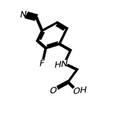 N#Cc1ccc(CNCC(=O)O)c(F)c1